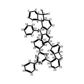 CC1(C)c2ccccc2-c2c1ccc1c3cc(-c4ccc5sc6cccc(-c7nc(-c8ccccc8)nc(-c8ccccc8)n7)c6c5c4)ccc3n(-c3ccccc3)c21